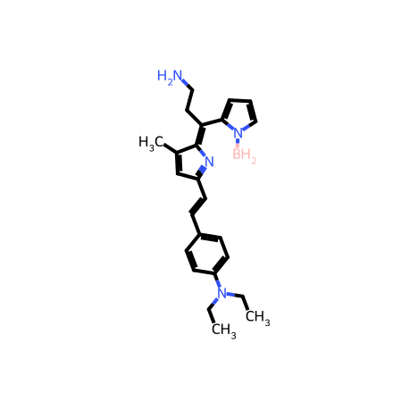 Bn1cccc1/C(CCN)=C1N=C(/C=C/c2ccc(N(CC)CC)cc2)C=C\1C